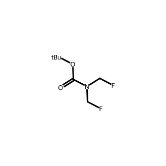 CC(C)(C)OC(=O)N(CF)CF